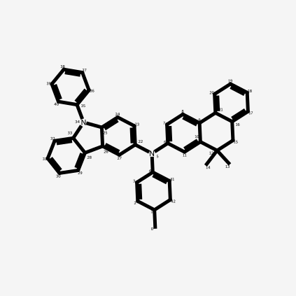 CC1C=CC(N(c2ccc3c(c2)C(C)(C)Cc2ccccc2-3)c2ccc3c(c2)c2ccccc2n3-c2ccccc2)=CC1